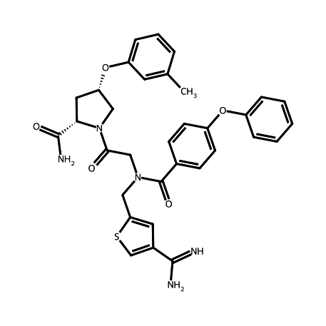 Cc1cccc(O[C@H]2C[C@@H](C(N)=O)N(C(=O)CN(Cc3cc(C(=N)N)cs3)C(=O)c3ccc(Oc4ccccc4)cc3)C2)c1